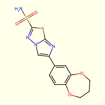 NS(=O)(=O)c1nn2cc(-c3ccc4c(c3)OCCCO4)nc2s1